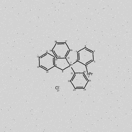 CCCc1ccccc1[P+](Cc1ccccc1)(c1ccccc1)c1ccccc1.[Cl-]